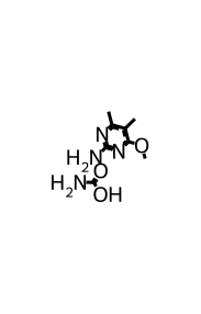 COc1nc(N)nc(C)c1C.NC(=O)O